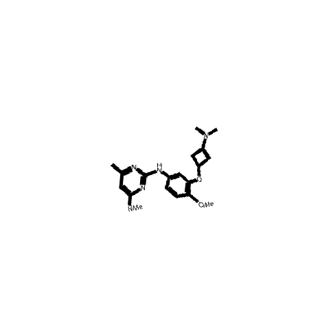 CNc1cc(C)nc(Nc2ccc(OC)c(OC3CC(N(C)C)C3)c2)n1